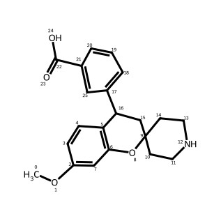 COc1ccc2c(c1)OC1(CCNCC1)CC2c1cccc(C(=O)O)c1